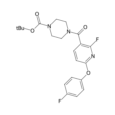 CC(C)(C)OC(=O)N1CCN(C(=O)c2ccc(Oc3ccc(F)cc3)nc2F)CC1